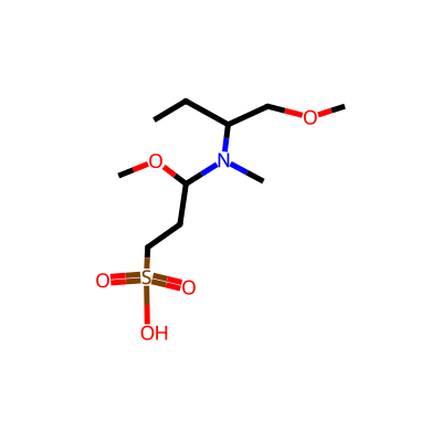 CCC(COC)N(C)C(CCS(=O)(=O)O)OC